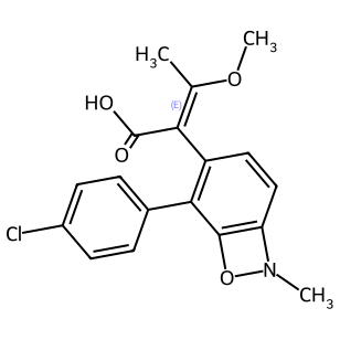 CO/C(C)=C(/C(=O)O)c1ccc2c(on2C)c1-c1ccc(Cl)cc1